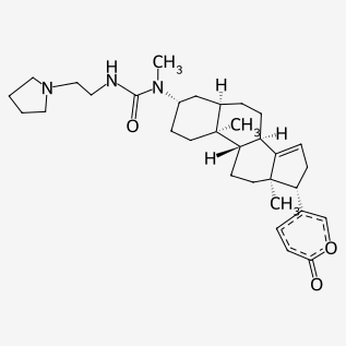 CN(C(=O)NCCN1CCCC1)[C@H]1CC[C@@]2(C)[C@H](CC[C@H]3C4=CC[C@H](c5ccc(=O)oc5)[C@@]4(C)CC[C@@H]32)C1